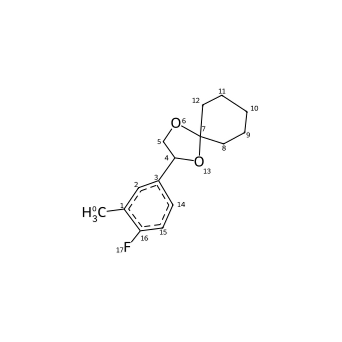 Cc1cc(C2COC3(CCCCC3)O2)ccc1F